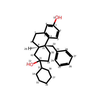 Oc1ccc2c(c1)CC[C@@H]1CC(O)(C3CCCCC3)CC[C@@]21Cc1ccccc1